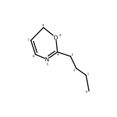 CCCCC1=NC=CCO1